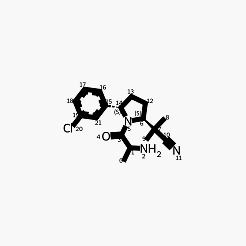 CC(N)C(=O)N1[C@H](C(C)(C)C#N)CC[C@H]1c1cccc(Cl)c1